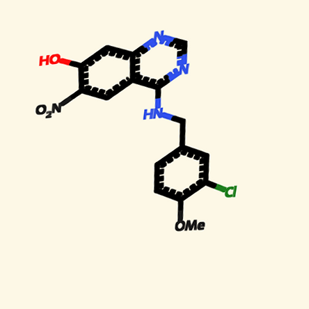 COc1ccc(CNc2ncnc3cc(O)c([N+](=O)[O-])cc23)cc1Cl